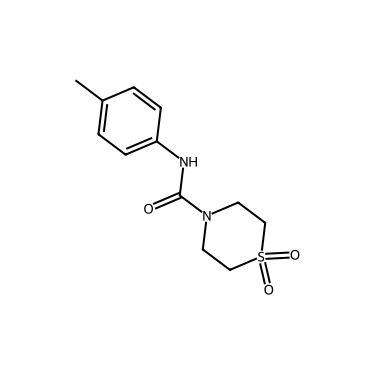 Cc1ccc(NC(=O)N2CCS(=O)(=O)CC2)cc1